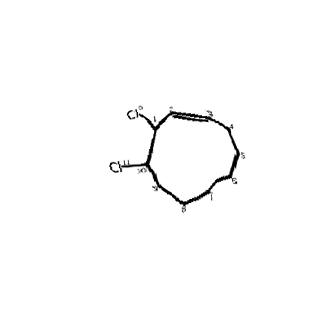 ClC1/C=C\CCCCCCC1Cl